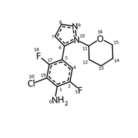 Nc1c(F)cc(-c2ccnn2C2CCCCO2)c(F)c1Cl